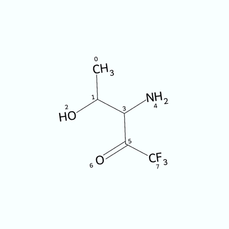 CC(O)C(N)C(=O)C(F)(F)F